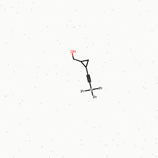 CC(C)[Si](C#CC1CC1CO)(C(C)C)C(C)C